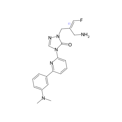 CN(C)c1cccc(-c2cccc(-n3cnn(C/C(=C/F)CN)c3=O)n2)c1